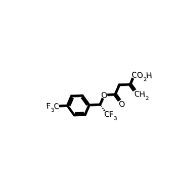 C=C(CC(=O)O[C@@H](c1ccc(C(F)(F)F)cc1)C(F)(F)F)C(=O)O